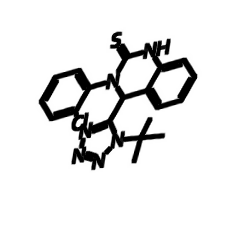 CC(C)(C)n1nnnc1C1c2ccccc2NC(=S)N1c1ccccc1Cl